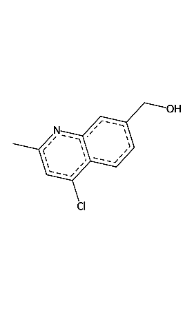 Cc1cc(Cl)c2ccc(CO)cc2n1